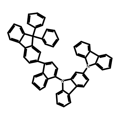 c1ccc(C2(c3ccccc3)c3ccccc3-c3ccc(-c4ccc(-n5c6ccccc6c6ccc(-n7c8ccccc8c8ccccc87)cc65)c5ccccc45)cc32)cc1